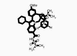 COc1ccc2c(c1)C1CC1(C(=O)N1[C@@H]3C[C@H]1CN(C(=O)N(C)C)C3)Cn1c-2c(C2CCCCC2)c2ccc(C(=O)NS(=O)(=O)N(C)C)cc21